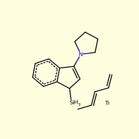 C=CC=CC.[SiH3]C1C=C(N2CCCC2)c2ccccc21.[Ti]